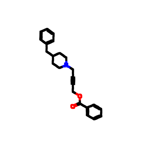 O=C(OCC#CCN1CCC(Cc2ccccc2)CC1)c1ccccc1